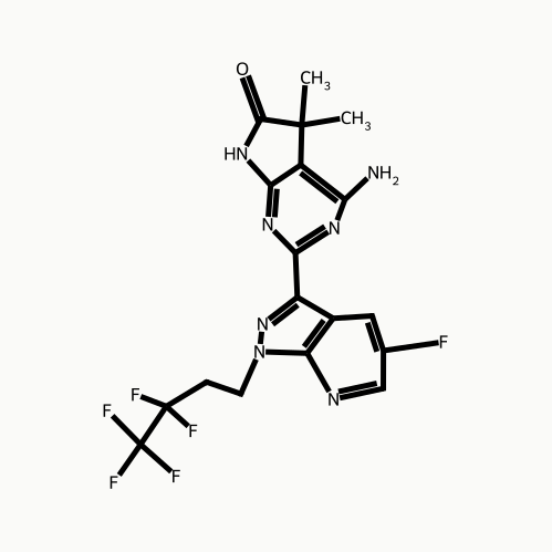 CC1(C)C(=O)Nc2nc(-c3nn(CCC(F)(F)C(F)(F)F)c4ncc(F)cc34)nc(N)c21